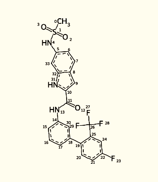 CS(=O)(=O)Nc1ccc2cc(C(=O)Nc3cccc(-c4ccc(F)cc4C(F)(F)F)c3)[nH]c2c1